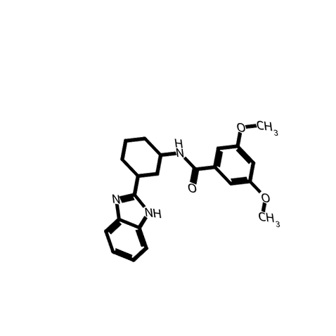 COc1cc(OC)cc(C(=O)NC2CCCC(c3nc4ccccc4[nH]3)C2)c1